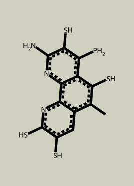 Cc1c(S)c2c(P)c(S)c(N)nc2c2nc(S)c(S)cc12